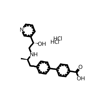 C[C@H](Cc1ccc(-c2ccc(C(=O)O)cc2)cc1)NC[C@@H](O)c1cccnc1.Cl.Cl